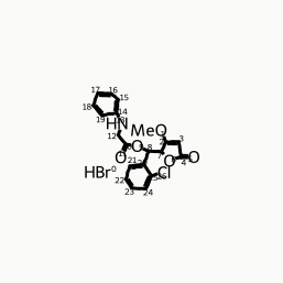 Br.COC1=CC(=O)OC1C(OC(=O)CNc1ccccc1)c1ccccc1Cl